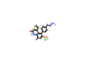 Cc1cc(O)c(-c2ccc(CCN)cc2)c2c1[nH]c(=O)c1sccc12.Cl